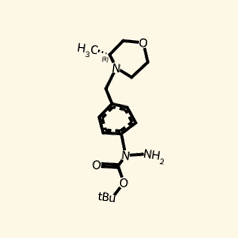 C[C@@H]1COCCN1Cc1ccc(N(N)C(=O)OC(C)(C)C)cc1